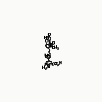 Cn1c(=O)n(C2CCC(=O)NC2=O)c2cccc(CCCn3cc(-c4cnc(N)c(C(=O)O)c4)cn3)c21